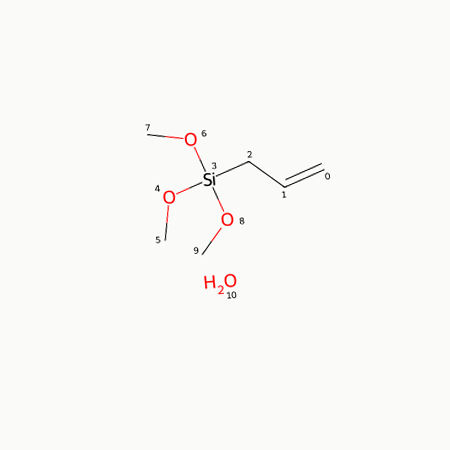 C=CC[Si](OC)(OC)OC.O